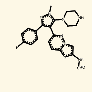 Cn1nc(-c2ccc(F)cc2)c(-c2ccc3nc(NC=O)cn3n2)c1N1CCNCC1